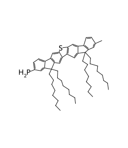 CCCCCCCCC1(CCCCCCCC)c2cc(C)ccc2-c2cc3sc4cc5c(cc4c3cc21)C(CCCCCCCC)(CCCCCCCC)c1cc(P)ccc1-5